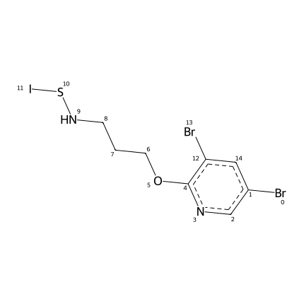 Brc1cnc(OCCCNSI)c(Br)c1